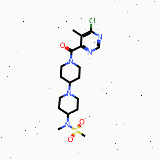 Cc1c(Cl)ncnc1C(=O)N1CCC(N2CCC(N(C)S(C)(=O)=O)CC2)CC1